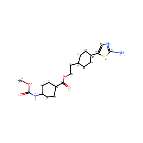 CC(C)(C)OC(=O)NC1CCC(C(=O)OCCC2CCC(c3cnc(N)s3)CC2)CC1